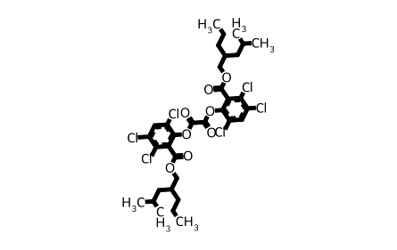 CCCC(COC(=O)c1c(Cl)c(Cl)cc(Cl)c1OC(=O)C(=O)Oc1c(Cl)cc(Cl)c(Cl)c1C(=O)OCC(CCC)CC(C)C)CC(C)C